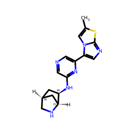 Cc1cn2c(-c3cncc(N[C@@H]4C[C@@H]5CN[C@H]4C5)n3)cnc2s1